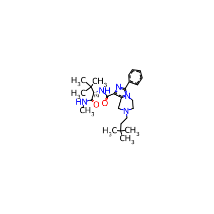 CNC(=O)[C@@H](NC(=O)c1nc(-c2ccccc2)n2c1CN(CCC(C)(C)C)CC2)C(C)(C)C